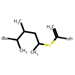 C=C(CCC)SC(C)CC(C)C(C)C(C)CC